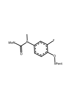 CCCCCOc1ccc(N(C)C(=O)NC)cc1F